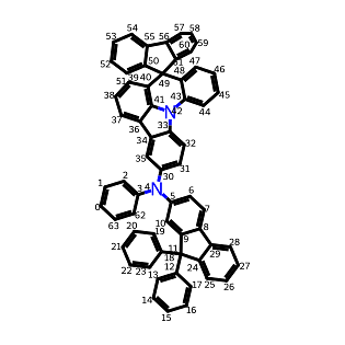 c1ccc(N(c2ccc3c(c2)C(c2ccccc2)(c2ccccc2)c2ccccc2-3)c2ccc3c(c2)c2cccc4c2n3-c2ccccc2C42c3ccccc3-c3ccccc32)cc1